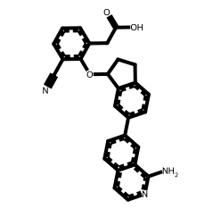 N#Cc1cccc(CC(=O)O)c1OC1CCc2ccc(-c3ccc4ccnc(N)c4c3)cc21